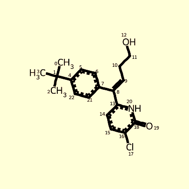 CC(C)(C)c1ccc(/C(=C\CCO)c2ccc(Cl)c(=O)[nH]2)cc1